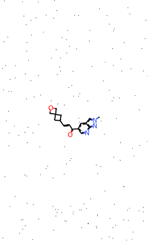 Cn1cc2cc(C(=O)/C=C/C3CC4(COC4)C3)cnc2n1